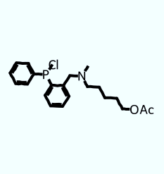 CC(=O)OCCCCCN(C)Cc1ccccc1P(Cl)c1ccccc1